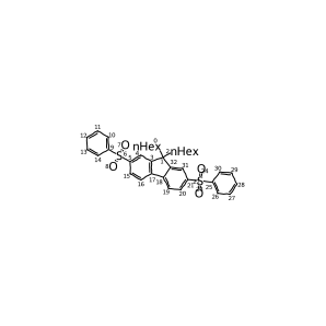 CCCCCCC1(CCCCCC)c2cc(S(=O)(=O)c3ccccc3)ccc2-c2ccc(S(=O)(=O)c3ccccc3)cc21